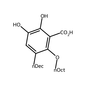 CCCCCCCCCCc1cc(O)c(O)c(C(=O)O)c1OCCCCCCCC